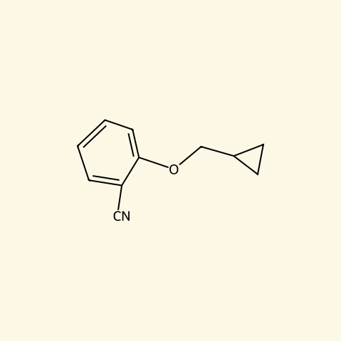 N#Cc1ccccc1OCC1CC1